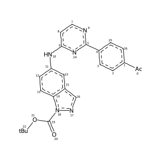 CC(=O)c1ccc(-c2nccc(Nc3ccc4c(cnn4C(=O)OC(C)(C)C)c3)n2)cc1